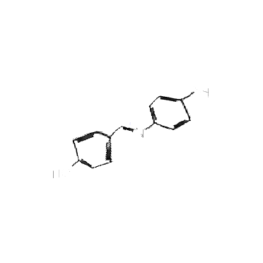 Oc1ccc(/C=N/c2ccc(S)cc2)cc1